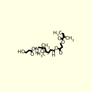 CC=C(C)C(=O)OCCC(=O)ONCCC(C)CC(C)(C)CNOC(=O)CCO